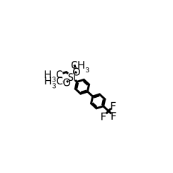 CC[Si](OC)(OC)c1ccc(-c2ccc(C(F)(F)F)cc2)cc1